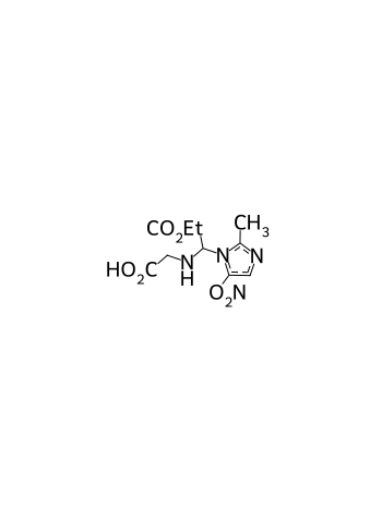 CCOC(=O)C(NCC(=O)O)n1c([N+](=O)[O-])cnc1C